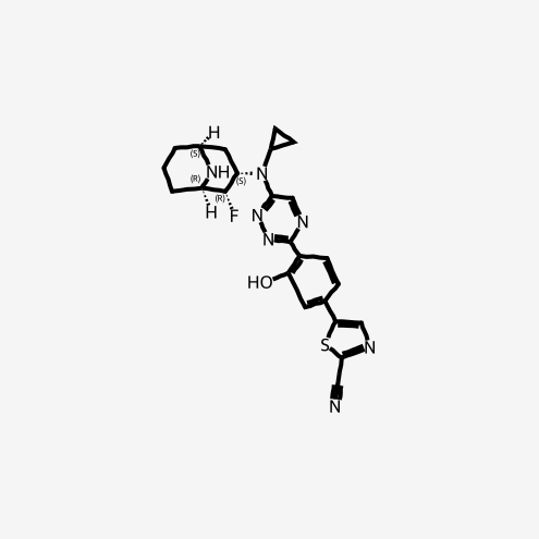 N#Cc1ncc(-c2ccc(-c3ncc(N(C4CC4)[C@H]4C[C@@H]5CCC[C@@H](N5)[C@H]4F)nn3)c(O)c2)s1